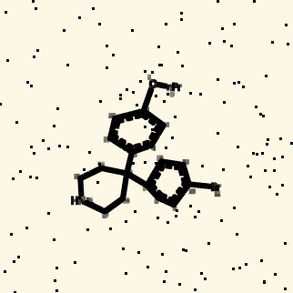 CCCOc1ccc(C2(c3ccc(Br)cc3)CCNCC2)cc1